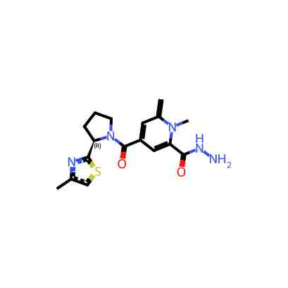 C=C1C=C(C(=O)N2CCC[C@@H]2c2nc(C)cs2)C=C(C(=O)NN)N1C